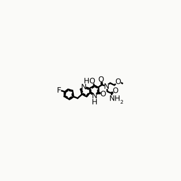 COCCN(CC(N)=O)C(=O)c1c(O)c2ncc(Cc3ccc(F)cc3)cc2[nH]c1=O